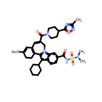 COC1=CC2=C(CC1)c1c(C3CCCCC3)c3ccc(C(=O)NS(=O)(=O)N(C)C)cc3n1CC(C(=O)N1CCC(c3nc(C)no3)CC1)=C2